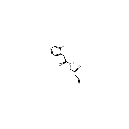 C=CCC(=O)CNC(=O)Cc1ccccc1C